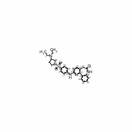 CCN(CC)C1CCN(S(=O)(=O)c2ccc(Nc3ncc4c(n3)-c3ccccc3NC(=O)C4)cc2)C1